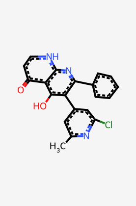 Cc1cc(-c2c(-c3ccccc3)nc3[nH]ccc(=O)c3c2O)cc(Cl)n1